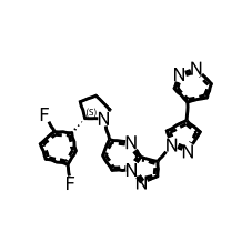 Fc1ccc(F)c([C@@H]2CCCN2c2ccn3ncc(-n4cc(-c5ccnnc5)cn4)c3n2)c1